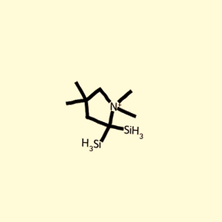 CC1(C)CC([SiH3])([SiH3])[N+](C)(C)C1